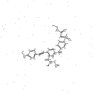 CCOC(=O)N=S(C)(=O)c1ccc(Nc2ncc(C#Cc3ccc(OC)cc3)c(N[C@H](C)CO)n2)cc1